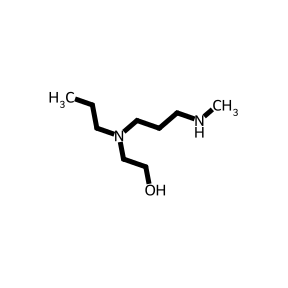 CCCN(CCO)CCCNC